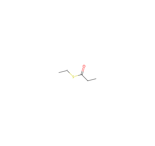 C[CH]SC(=O)CC